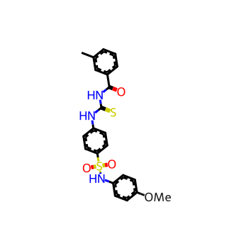 COc1ccc(NS(=O)(=O)c2ccc(NC(=S)NC(=O)c3cccc(C)c3)cc2)cc1